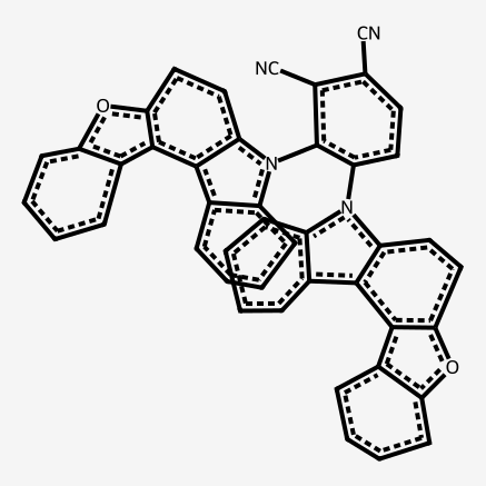 N#Cc1ccc(-n2c3ccccc3c3c4c(ccc32)oc2ccccc24)c(-n2c3ccccc3c3c4c(ccc32)oc2ccccc24)c1C#N